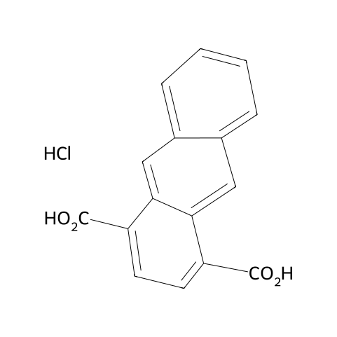 Cl.O=C(O)c1ccc(C(=O)O)c2cc3ccccc3cc12